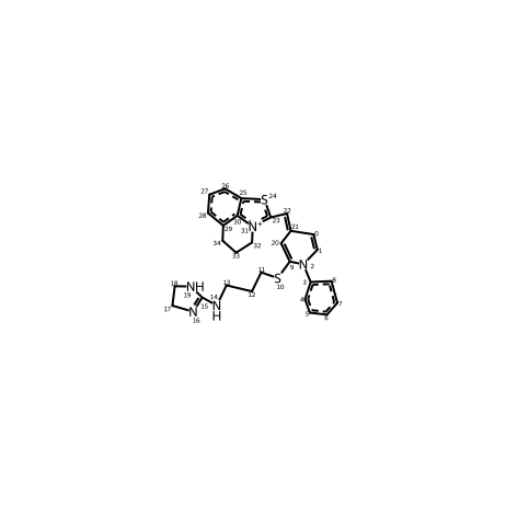 C1=CN(c2ccccc2)C(SCCCNC2=NCCN2)=CC1=Cc1sc2cccc3c2[n+]1CCC3